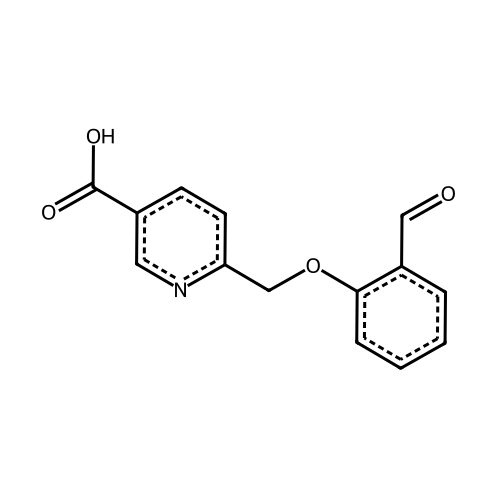 O=Cc1ccccc1OCc1ccc(C(=O)O)cn1